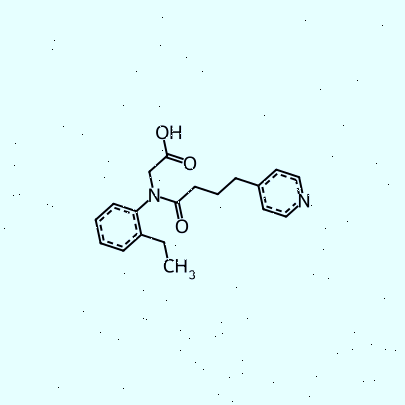 CCc1ccccc1N(CC(=O)O)C(=O)CCCc1ccncc1